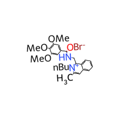 CCCC[n+]1c(C)cc2ccccc2c1CNC(=O)c1cc(OC)c(OC)c(OC)c1.[Br-]